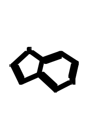 [c]1cc2[c]nccc2s1